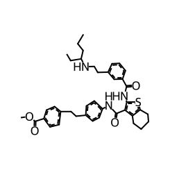 CCCC(CC)NCCc1cccc(C(=O)Nc2sc3c(c2C(=O)Nc2ccc(CCc4ccc(C(=O)OC)cc4)cc2)CCCC3)c1